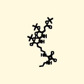 CCCNc1c(NCCCCC(NC(=O)NC(CCC(=O)OC(C)(C)C)C(=O)OC(C)(C)C)C(=O)OC(C)(C)C)c(=O)c1=O